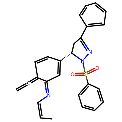 C=C=C1C=CC([C@@H]2CC(c3ccccc3)=NN2S(=O)(=O)c2ccccc2)=C/C1=N/C=C\C